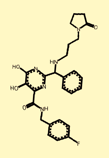 O=C(NCc1ccc(F)cc1)c1nc(C(NCCCN2CCCC2=O)c2ccccc2)nc(O)c1O